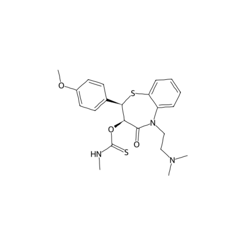 CNC(=S)O[C@@H]1C(=O)N(CCN(C)C)c2ccccc2S[C@@H]1c1ccc(OC)cc1